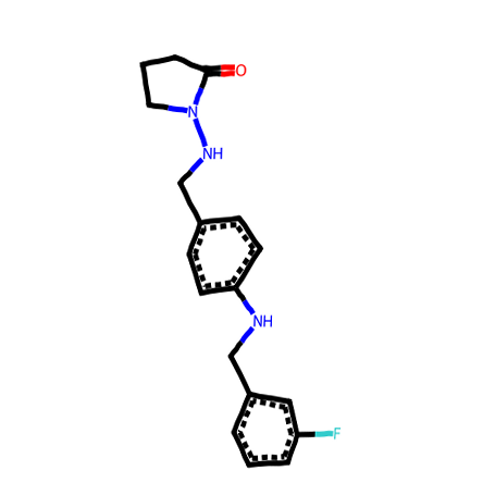 O=C1CCCN1NCc1ccc(NCc2cccc(F)c2)cc1